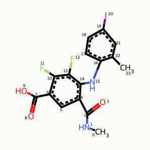 CNC(=O)c1cc(C(=O)O)c(F)c(F)c1Nc1ccc(I)cc1C